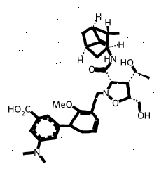 C=C1[C@H]2C[C@H](NC(=O)[C@@H]3[C@H]([C@H](C)O)[C@H](CO)ON3CC3=C(OC)C(c4cc(C(=O)O)cc(N(C)C)c4)CC=C3)[C@@H](C)[C@@H]1C2